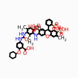 C=c1cc2c(cc1S(=O)(=O)O)=C(c1ccccc1S(=O)(=O)O)c1cc(S(=O)(=O)O)c(Nc3c(C)cc(C)c(NC(=O)Nc4ccc(OC5CCCCC5)c(C(=O)O)c4)c3C)cc1O2